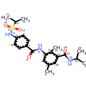 Cc1cc(NC(=O)c2ccc(NS(=O)(=O)C(C)C)cc2)c(C)c(C(=O)NC(C)C)c1